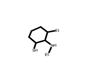 CCNC1C(S)CCCC1CC